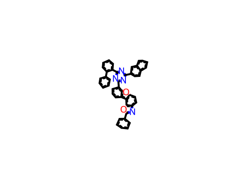 c1ccc(-c2nc3ccc4oc5c(-c6nc(-c7ccc8ccccc8c7)nc(-c7ccccc7-c7ccccc7)n6)cccc5c4c3o2)cc1